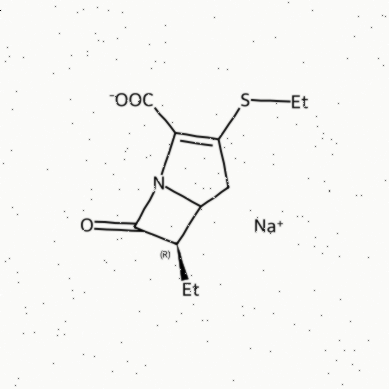 CCSC1=C(C(=O)[O-])N2C(=O)[C@H](CC)C2C1.[Na+]